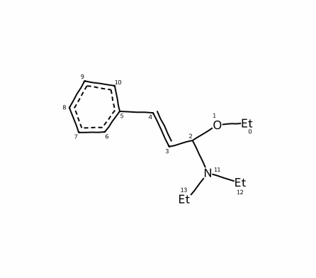 CCOC(C=Cc1ccccc1)N(CC)CC